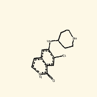 O=c1[nH]ccc2cc(NC3CCNCC3)c(Cl)cc12